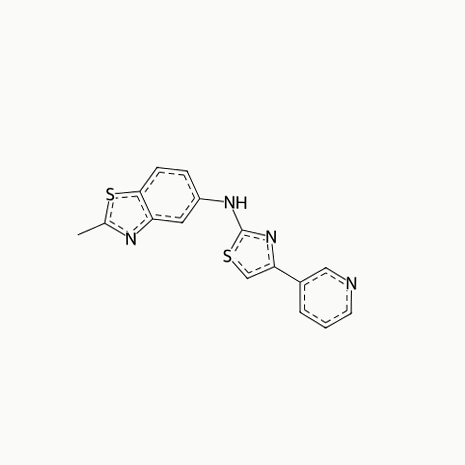 Cc1nc2cc(Nc3nc(-c4cccnc4)cs3)ccc2s1